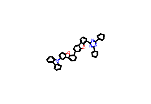 c1ccc(-c2nc(-c3ccccc3)nc(-c3cccc4c3oc3cc(-c5cccc6c5oc5ccc(-n7c8ccccc8c8ccccc87)cc56)ccc34)n2)cc1